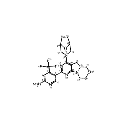 Nc1cc(C(F)(F)F)c(-c2nc(N3CC4CCC(C3)O4)c3c(n2)N2CCOCC2C3)cn1